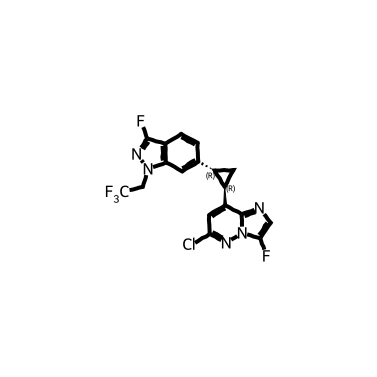 Fc1nn(CC(F)(F)F)c2cc([C@@H]3C[C@H]3c3cc(Cl)nn4c(F)cnc34)ccc12